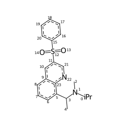 CC(C)N(C)C(C)c1cccc2cc(S(=O)(=O)c3ccccc3)cnc12